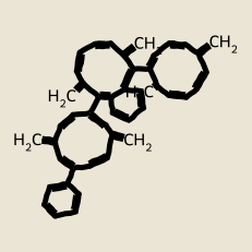 C=c1ccccc(=C)c(-c2c(=C)ccccc(=C)c(-c3ccc(=C)cc(-c4ccccc4)ccc(=C)c3)c3ccccc23)ccc1